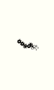 CC(C)n1nnc2cc(-c3noc(-c4ccc(-c5ccccc5)cc4)n3)ccc21